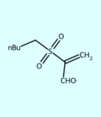 C=C([C]=O)S(=O)(=O)CCCCC